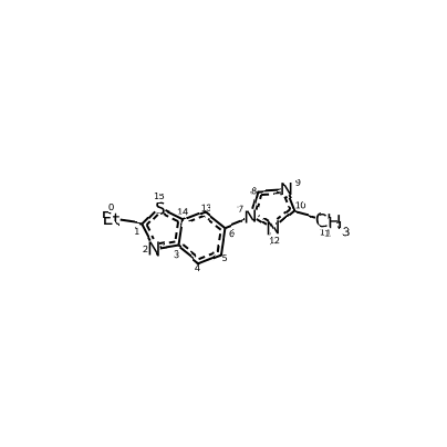 CCc1nc2ccc(-n3cnc(C)n3)cc2s1